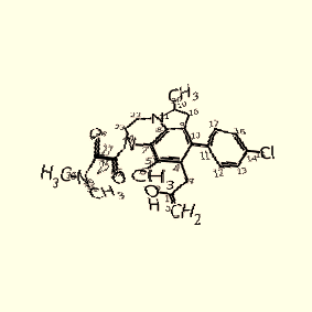 C=C(O)Cc1c(C)c2c3c(c1-c1ccc(Cl)cc1)CC(C)N3CCN2C(=O)C(=O)N(C)C